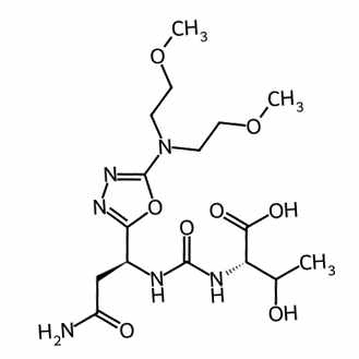 COCCN(CCOC)c1nnc([C@H](CC(N)=O)NC(=O)N[C@H](C(=O)O)C(C)O)o1